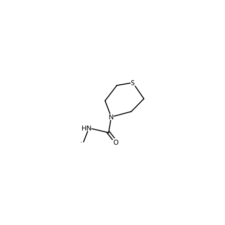 [CH2]NC(=O)N1CCSCC1